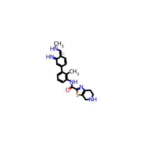 CN/C=C1/C=CC(c2cccc(NC(=O)c3nc4c(s3)CNCC4)c2C)=CC1=N